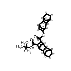 CC(C)(C)OC(=O)C1C2CC(C1C(=O)OC1CC3CC1C1C4CCC(C4)C31)C1C3CCC(C3)C21